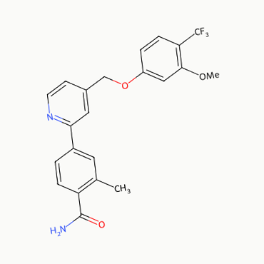 COc1cc(OCc2ccnc(-c3ccc(C(N)=O)c(C)c3)c2)ccc1C(F)(F)F